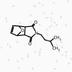 CC(C)CCN1C(=O)C2C3C=CC(O3)C2C1=O